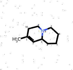 CC1=CC2CCCCN2CC1